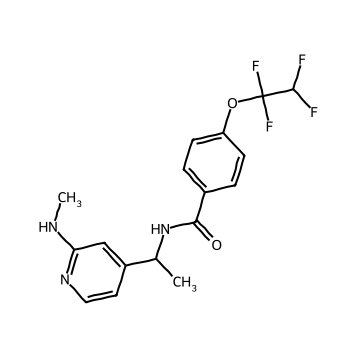 CNc1cc(C(C)NC(=O)c2ccc(OC(F)(F)C(F)F)cc2)ccn1